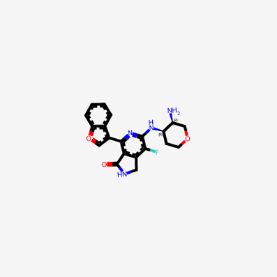 N[C@H]1COCC[C@H]1Nc1nc(-c2coc3ccccc23)c2c(c1F)CNC2=O